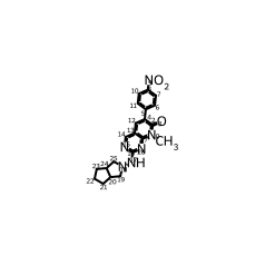 Cn1c(=O)c(-c2ccc([N+](=O)[O-])cc2)cc2cnc(NN3CC4CCCC4C3)nc21